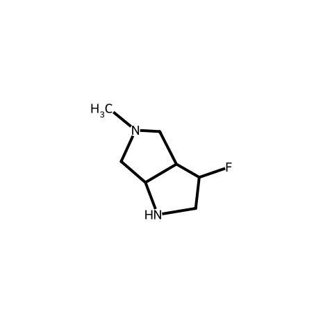 CN1CC2NCC(F)C2C1